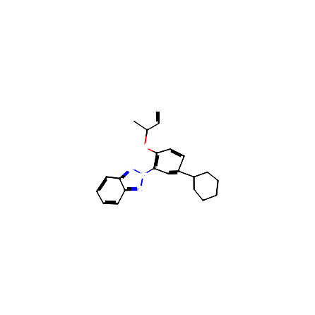 C=CC(C)Oc1ccc(C2CCCCC2)cc1-n1nc2ccccc2n1